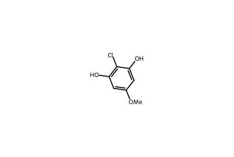 COc1cc(O)c(Cl)c(O)c1